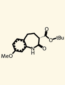 COc1ccc2c(c1)NC(=O)[C@@H](C(=O)OC(C)(C)C)CC2